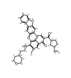 NC1CCN(C(=O)c2cn3c4c(c(NCCN5CCOCC5)c(F)cc4c2=O)Oc2cc4c(cc2-3)oc2ccccc24)C1